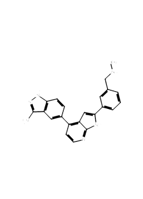 CCCCNCc1cccc(-c2cc3c(-c4ccc5[nH]nc(N)c5c4)ccnc3[nH]2)c1